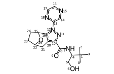 CC(C)(C)C(CO)NC(=O)c1nn(-c2cnccn2)c2c1CC1CCC2O1